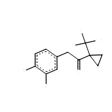 O=C(Cc1ccc(F)c(F)c1)C1(C(F)(F)F)CC1